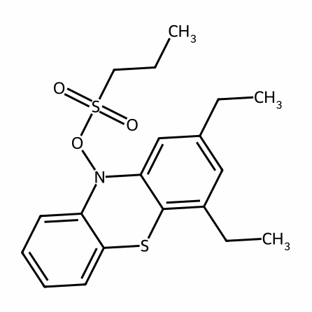 CCCS(=O)(=O)ON1c2ccccc2Sc2c(CC)cc(CC)cc21